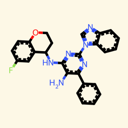 Nc1c(NC2CCOc3ccc(F)cc32)nc(-n2cnc3ccccc32)nc1-c1ccccc1